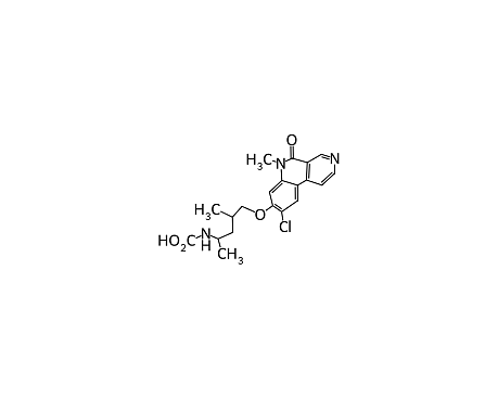 CC(COc1cc2c(cc1Cl)c1ccncc1c(=O)n2C)CC(C)NC(=O)O